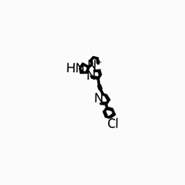 Clc1ccc(-c2ccc(C#Cc3ccc([N+]4(C5CCNC5)CCCC4)nc3)nc2)cc1